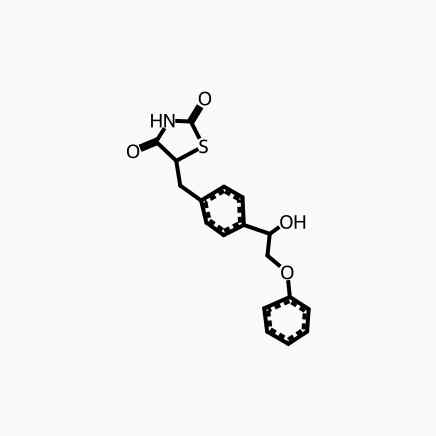 O=C1NC(=O)C(Cc2ccc(C(O)COc3ccccc3)cc2)S1